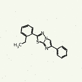 CCc1ccccc1-c1nn2cc(-c3ccccc3)nc2s1